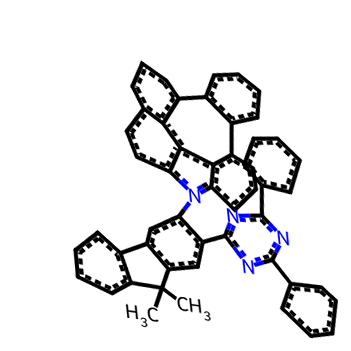 CC1(C)c2ccccc2-c2cc(-n3c4cccc5c4c4c6c(cccc6ccc43)-c3ccccc3-5)c(-c3nc(-c4ccccc4)nc(-c4ccccc4)n3)cc21